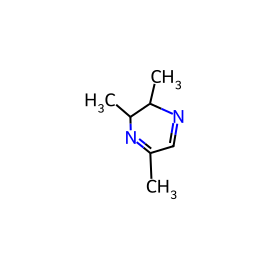 CC1=NC(C)C(C)N=C1